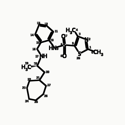 Cc1nc(C)c(S(=O)(=O)Nc2ccccc2CN[C@@H](C)CC2CCCCCC2)s1